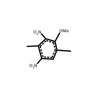 COc1c(C)cc([N+](=O)[O-])c(C)c1[N+](=O)[O-]